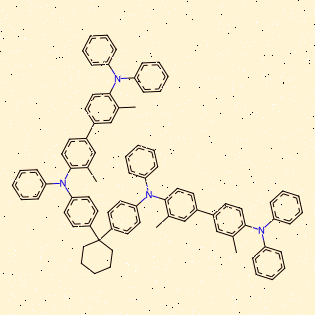 Cc1cc(-c2ccc(N(c3ccccc3)c3ccc(C4(c5ccc(N(c6ccccc6)c6ccc(-c7ccc(N(c8ccccc8)c8ccccc8)c(C)c7)cc6C)cc5)CCCCC4)cc3)c(C)c2)ccc1N(c1ccccc1)c1ccccc1